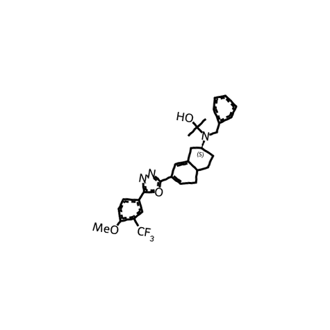 COc1ccc(-c2nnc(C3=CCC4CC[C@H](N(Cc5ccccc5)C(C)(C)O)CC4=C3)o2)cc1C(F)(F)F